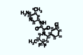 Cc1cc(NC(=O)C(=O)N2C[C@@H](C)C(F)(F)C[C@@H]2c2cccc(Cl)c2)cnc1N